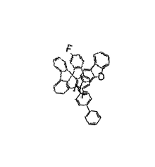 Fc1ccc2c(c1)C1(c3cc(F)ccc3-2)c2ccccc2-c2cccc(N(c3ccc(-c4ccccc4)cc3)c3ccc4c(c3)oc3ccccc34)c21